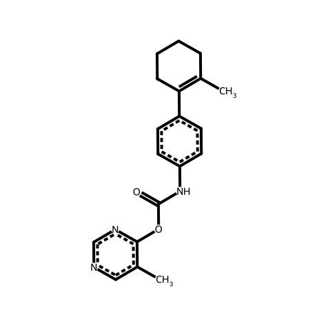 CC1=C(c2ccc(NC(=O)Oc3ncncc3C)cc2)CCCC1